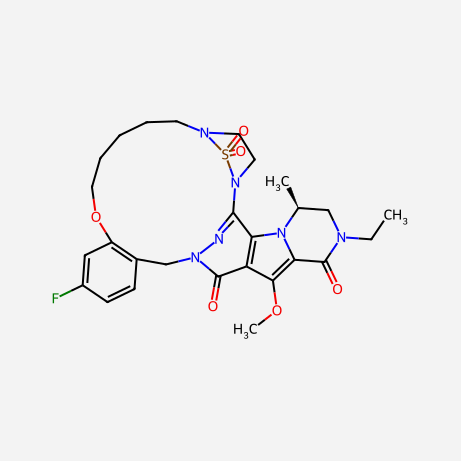 CCN1C[C@H](C)n2c(c(OC)c3c(=O)n4nc(c32)N2CCN(CCCCCOc3cc(F)ccc3C4)S2(=O)=O)C1=O